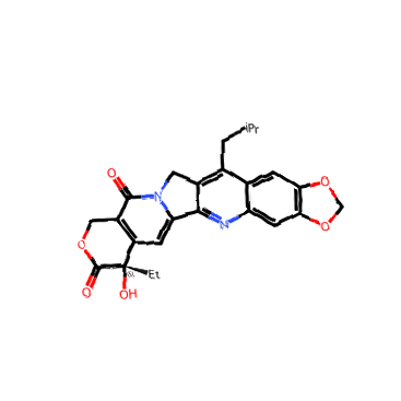 CC[C@@]1(O)C(=O)OCc2c1cc1n(c2=O)Cc2c-1nc1cc3c(cc1c2CC(C)C)OCO3